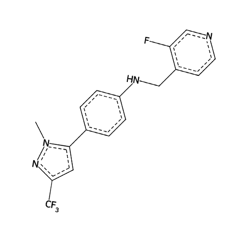 Cn1nc(C(F)(F)F)cc1-c1ccc(NCc2ccncc2F)cc1